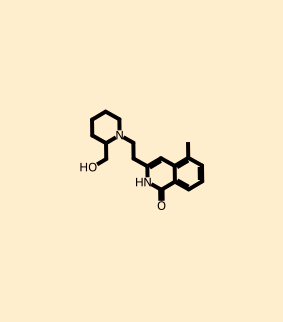 Cc1cccc2c(=O)[nH]c(CCN3CCCCC3CO)cc12